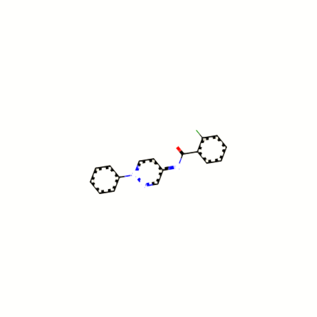 O=C(/N=c1\ccn(-c2ccccc2)nc1)c1ccccc1F